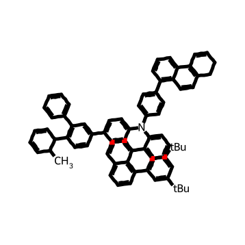 CC1C=CC=CC1c1ccc(-c2ccc(N(c3ccc(-c4cccc5c6c(ccc45)CCC=C6)cc3)c3ccccc3-c3cccc4cccc(-c5cc(C(C)(C)C)cc(C(C)(C)C)c5)c34)cc2)cc1-c1ccccc1